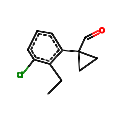 CCc1c(Cl)cccc1C1(C=O)CC1